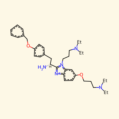 CCN(CC)CCCOc1ccc2nc([C@H](N)Cc3ccc(OCc4ccccc4)cc3)n(CCCN(CC)CC)c2c1